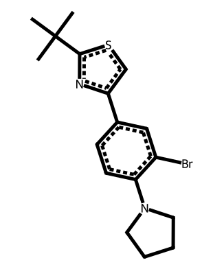 CC(C)(C)c1nc(-c2ccc(N3CCCC3)c(Br)c2)cs1